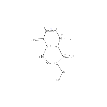 C=NSC(=C)/N=C\N(C)CC(=O)OCC